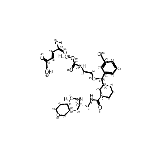 CN[C@H](CNC(=O)N1CCC[C@@H]([C@@H](OCCNC(=O)OC)c2cccc(Cl)c2)C1)C[C@H]1CCCOC1.O=C(O)C=CC(=O)O